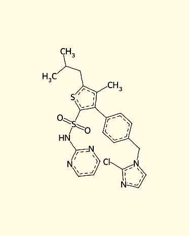 Cc1c(CC(C)C)sc(S(=O)(=O)Nc2ncccn2)c1-c1ccc(Cn2ccnc2Cl)cc1